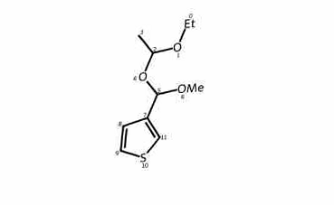 CCOC(C)OC(OC)c1ccsc1